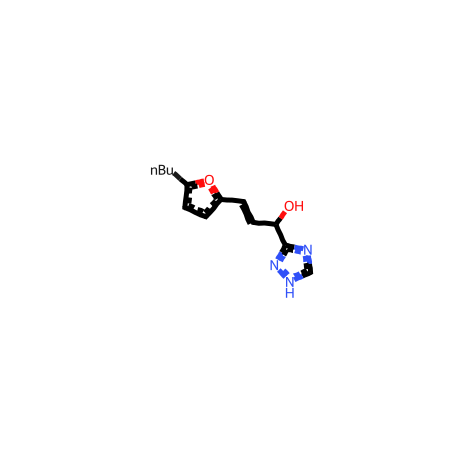 CCCCc1ccc(C=CC(O)c2nc[nH]n2)o1